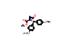 CCCCOC(=O)C1CC(=O)N1C(c1ccc(OC)cc1)c1ccc(OC)cc1